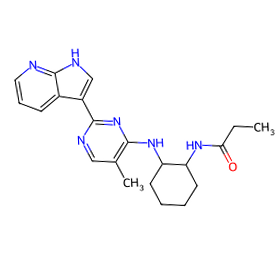 CCC(=O)NC1CCCCC1Nc1nc(-c2c[nH]c3ncccc23)ncc1C